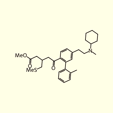 COC(=O)CC(CSC)CC(=O)c1ccc(CCN(C)C2CCCCC2)cc1-c1ccccc1C